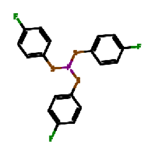 Fc1ccc(SP(Sc2ccc(F)cc2)Sc2ccc(F)cc2)cc1